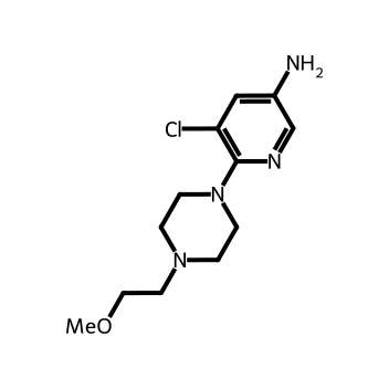 COCCN1CCN(c2ncc(N)cc2Cl)CC1